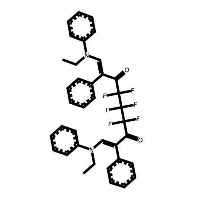 CCN(/C=C(/C(=O)C(F)(F)C(F)(F)C(F)(F)C(=O)/C(=C/N(CC)c1ccccc1)c1ccccc1)c1ccccc1)c1ccccc1